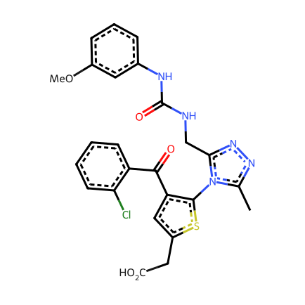 COc1cccc(NC(=O)NCc2nnc(C)n2-c2sc(CC(=O)O)cc2C(=O)c2ccccc2Cl)c1